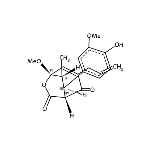 C=CCC1=C[C@@]2(OC)OC(=O)[C@@H](C1=O)[C@H](c1ccc(O)c(OC)c1)[C@H]2C